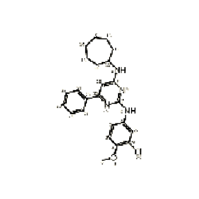 COc1ccc(Nc2nc(NC3CCCCCC3)cc(-c3ccccc3)n2)cc1Cl